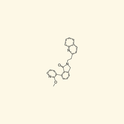 COc1ncccc1-c1cccc2c1C(=O)N(CCc1ccc3ccccc3n1)C2